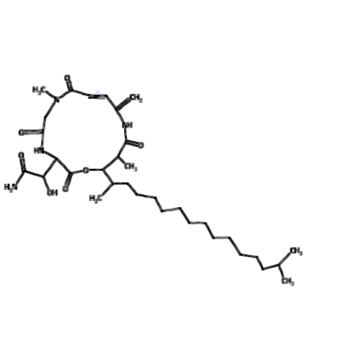 C=C1/C=C\C(=O)N(C)CC(=O)NC(C(O)C(N)=O)C(=O)OC(C(C)CCCCCCCCCCCCC(C)C)C(C)C(=O)N1